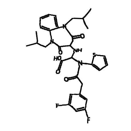 CC(C)CN1C(=O)C(NC(C(=O)O)N(C(=O)Cc2cc(F)cc(F)c2)c2cccs2)C(=O)N(CC(C)C)c2ccccc21